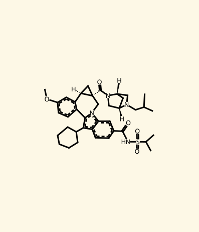 COc1ccc2c(c1)[C@H]1C[C@@]1(C(=O)N1C[C@@H]3C[C@H]1CN3CC(C)C)Cn1c-2c(C2CCCCC2)c2ccc(C(=O)NS(=O)(=O)C(C)C)cc21